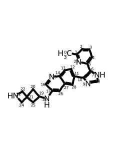 Cc1cccc(-c2[nH]cnc2-c2ccc3ncc(NC4CC5(CNC5)C4)cc3c2)n1